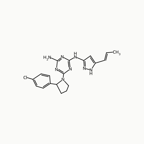 C/C=C/c1cc(Nc2nc(N)nc(N3CCCC3c3ccc(Cl)cc3)n2)n[nH]1